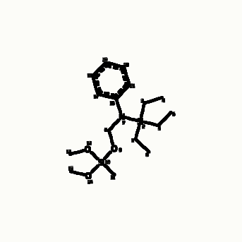 CC[Si](CC)(CC)N(CO[Si](C)(OC)OC)c1ccccc1